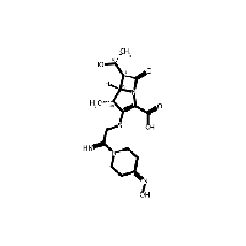 C[C@@H](O)[C@H]1C(=O)N2C(C(=O)O)=C(SCC(=N)N3CCC(=NO)CC3)[C@H](C)[C@H]12